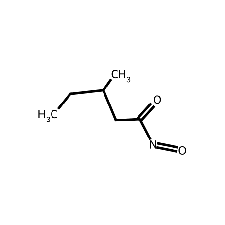 CCC(C)CC(=O)N=O